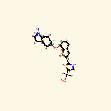 CC(C)(O)c1cnc(-c2cc3cccc(Oc4ccc5[nH]ccc5c4)c3s2)s1